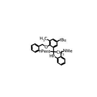 CCCCCC(C)(Pc1ccccc1CNC)c1cc(C(C)(C)C)cc(C)c1OCc1ccccc1